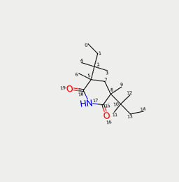 CCC(C)(C)C1(C)CC(C)(C(C)(C)CC)C(=O)NC1=O